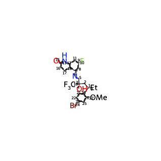 CCC(CC(O)(C=Nc1cc(F)cc2[nH]c(=O)ccc12)C(F)(F)F)c1ccc(Br)cc1OC